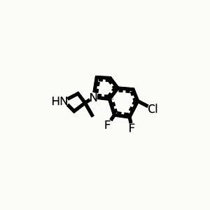 CC1(n2ccc3cc(Cl)c(F)c(F)c32)CNC1